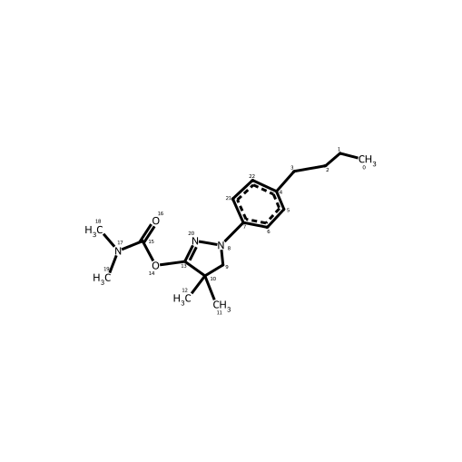 CCCCc1ccc(N2CC(C)(C)C(OC(=O)N(C)C)=N2)cc1